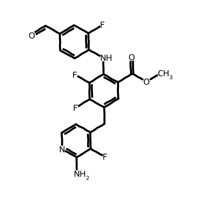 COC(=O)c1cc(Cc2ccnc(N)c2F)c(F)c(F)c1Nc1ccc(C=O)cc1F